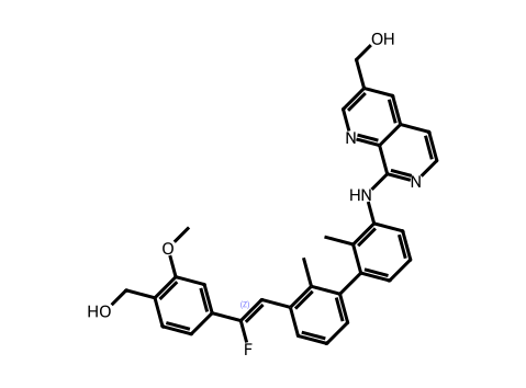 COc1cc(/C(F)=C/c2cccc(-c3cccc(Nc4nccc5cc(CO)cnc45)c3C)c2C)ccc1CO